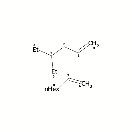 C=CCC(CC)CC.C=CCCCCCC